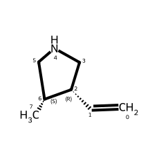 C=C[C@H]1CNC[C@H]1C